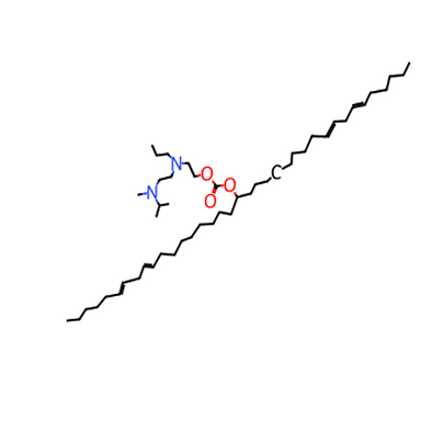 CCCCCC=CCC=CCCCCCCCCC(CCCCCCCCC=CCC=CCCCCC)OC(=O)OCCN(CCC)CCN(C)C(C)C